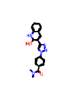 CN(C)C(=O)c1ccc(-n2cc(C3=Cc4ccccc4NC3O)nn2)cc1